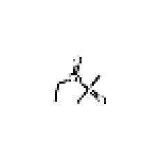 C[CH2][Co](=[O])[P](C)(C)=O